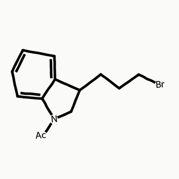 CC(=O)N1CC(CCCBr)c2ccccc21